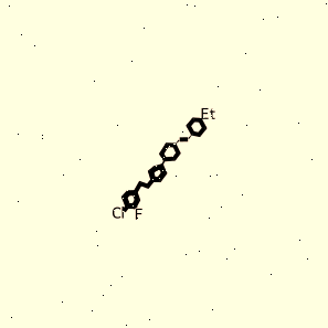 CC[C@H]1CC[C@H](CC[C@H]2CC[C@H](c3ccc(CCc4ccc(Cl)c(F)c4)cc3)CC2)CC1